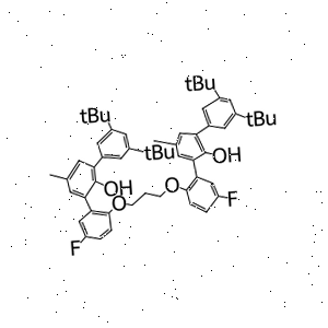 Cc1cc(-c2cc(C(C)(C)C)cc(C(C)(C)C)c2)c(O)c(-c2cc(F)ccc2OCCCOc2ccc(F)cc2-c2cc(C)cc(-c3cc(C(C)(C)C)cc(C(C)(C)C)c3)c2O)c1